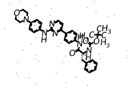 CC(C)(C)OC(=O)N[C@H](Cc1ccccc1)C(=O)Nc1ccc(-c2ccnc(Nc3ccc(N4CCOCC4)cc3)n2)cc1